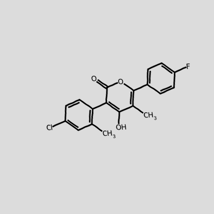 Cc1cc(Cl)ccc1-c1c(O)c(C)c(-c2ccc(F)cc2)oc1=O